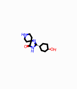 O=C1NC([C@H]2CC[C@H](O)CC2)=NC12CCNCC2